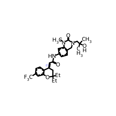 CCC1(CC)C/C(=C\C(=O)Nc2ccc3c(c2)N(C)C(=O)N(CC(C)(C)O)C3)c2ccc(C(F)(F)F)cc2O1